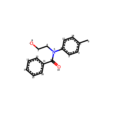 Cc1ccc(N(CC[O])C(=O)c2ccccc2)cc1